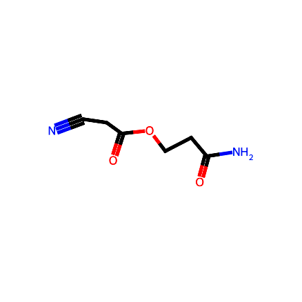 N#CCC(=O)OCCC(N)=O